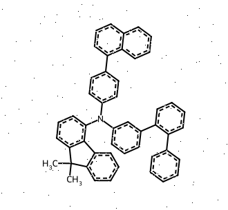 CC1(C)c2ccccc2-c2c(N(c3ccc(-c4cccc5ccccc45)cc3)c3cccc(-c4ccccc4-c4ccccc4)c3)cccc21